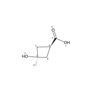 C[C@]1(O)C[C@@H](C(=O)O)C1